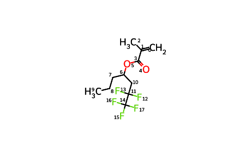 C=C(C)C(=O)OC(CCC)CC(F)(F)C(F)(F)F